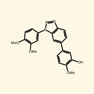 COc1ccc(-c2ccc3nnn(-c4ccc(OC)c(OC)c4)c3c2)cc1O